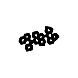 c1ccc(N(c2cccc3ccccc23)c2cc3cccc4c(N(c5ccccc5)c5cccc6ccccc56)cc5cccc2c5c34)cc1